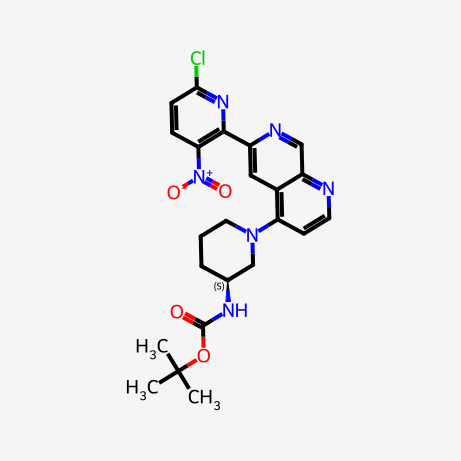 CC(C)(C)OC(=O)N[C@H]1CCCN(c2ccnc3cnc(-c4nc(Cl)ccc4[N+](=O)[O-])cc23)C1